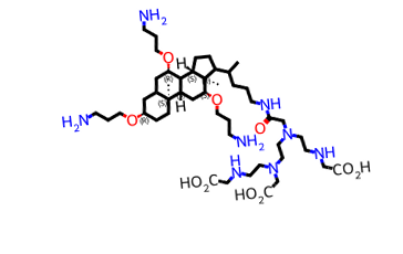 CC(CCCNC(=O)CN(CCNCC(=O)O)CCN(CCNCC(=O)O)CC(=O)O)C1CC[C@H]2C3[C@H](OCCCN)CC4C[C@H](OCCCN)CC[C@]4(C)[C@H]3C[C@H](OCCCN)[C@]12C